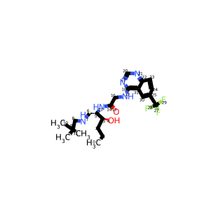 CCC[C@H](O)[C@H](CNCC(C)(C)C)NC(=O)CNc1ncnc2ccc(C(F)(F)F)cc12